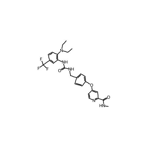 CCN(CC)c1ccc(C(F)(F)F)cc1NC(=O)NCc1ccc(Oc2ccnc(C(=O)NC)c2)cc1